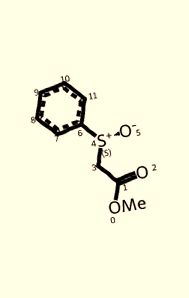 COC(=O)C[S@@+]([O-])c1ccccc1